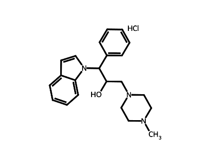 CN1CCN(CC(O)C(c2ccccc2)n2ccc3ccccc32)CC1.Cl